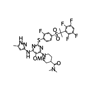 COc1c(Nc2cc(C)[nH]n2)nc(Sc2ccc(S(=O)(=O)C(C)(C)c3c(F)c(F)cc(F)c3F)cc2F)nc1N1CCC(C(=O)N(C)C)CC1